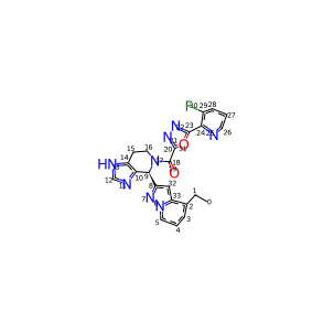 CCc1cccn2nc([C@H]3c4nc[nH]c4CCN3C(=O)c3nnc(-c4ncccc4F)o3)cc12